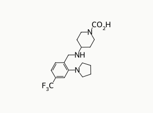 O=C(O)N1CCC(NCc2ccc(C(F)(F)F)cc2N2CCCC2)CC1